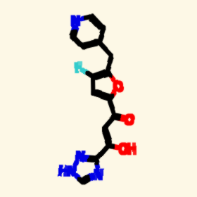 O=C(C=C(O)c1nc[nH]n1)c1cc(F)c(Cc2ccncc2)o1